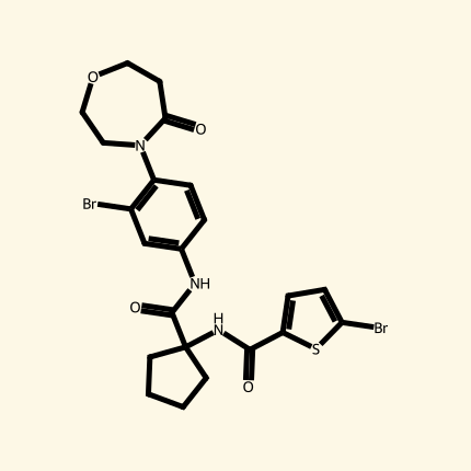 O=C(NC1(C(=O)Nc2ccc(N3CCOCCC3=O)c(Br)c2)CCCC1)c1ccc(Br)s1